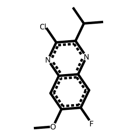 COc1cc2nc(Cl)c(C(C)C)nc2cc1F